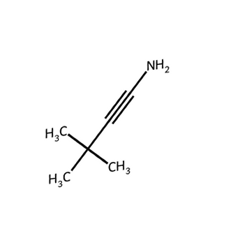 CC(C)(C)C#CN